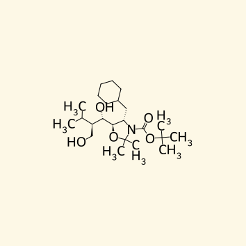 CC(C)[C@H](CO)[C@H](O)[C@@H]1OC(C)(C)N(C(=O)OC(C)(C)C)[C@H]1CC1CCCCC1